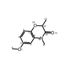 COc1ccc2c(c1)N(C)C(=O)C(C)O2